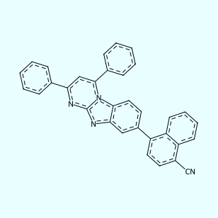 N#Cc1ccc(-c2ccc3c(c2)nc2nc(-c4ccccc4)cc(-c4ccccc4)n23)c2ccccc12